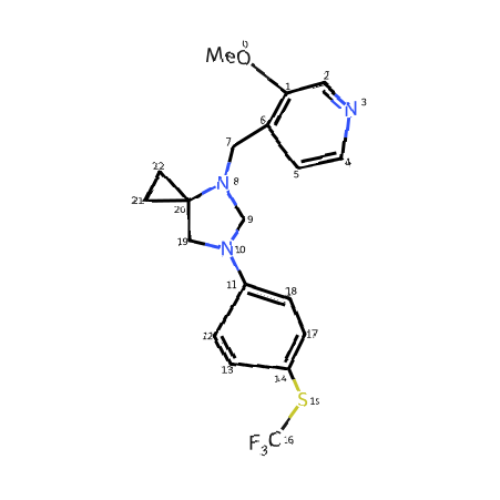 COc1cnccc1CN1CN(c2ccc(SC(F)(F)F)cc2)CC12CC2